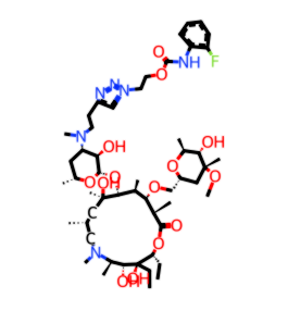 CC[C@H]1OC(=O)[C@H](C)[C@@H](OC[C@H]2C[C@@](C)(OC)[C@@H](O)[C@H](C)O2)[C@H](C)[C@@H](O[C@@H]2O[C@H](C)C[C@H](N(C)CCc3cn(CCOC(=O)Nc4ccccc4F)nn3)[C@H]2O)[C@](C)(O)C[C@@H](C)CN(C)[C@H](C)[C@@H](O)[C@@]1(O)CC